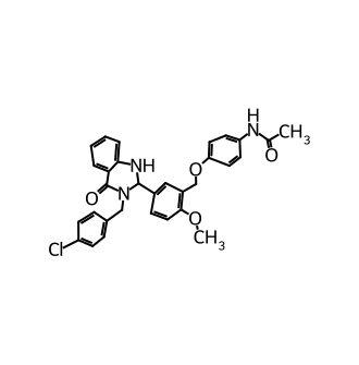 COc1ccc(C2Nc3ccccc3C(=O)N2Cc2ccc(Cl)cc2)cc1COc1ccc(NC(C)=O)cc1